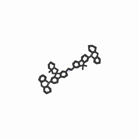 CC1(C)c2cc(/C=C/c3ccc4c(c3)C3(CC5C=CC=CC5(C)C3)c3cc(N5c6ccccc6Cc6ccccc65)ccc3-4)ccc2-c2ccc(N3c4ccccc4Cc4ccccc43)cc21